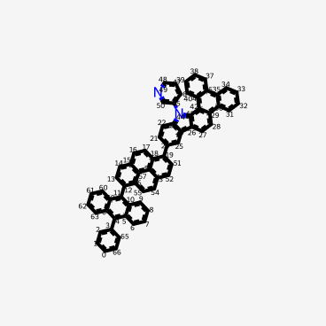 c1ccc(-c2c3ccccc3c(-c3ccc4ccc5c(-c6ccc7c(c6)c6ccc8c9ccccc9c9ccccc9c8c6n7-c6cccnc6)ccc6ccc3c4c65)c3ccccc23)cc1